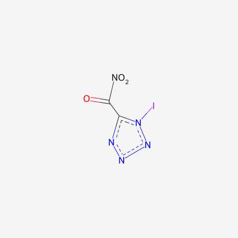 O=C(c1nnnn1I)[N+](=O)[O-]